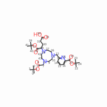 CC(C)(C)OC(=O)CN1CCN(Cc2cccc(C(=O)OC(C)(C)C)n2)CCN(C(CCC(=O)O)C(=O)OC(C)(C)C)CC1